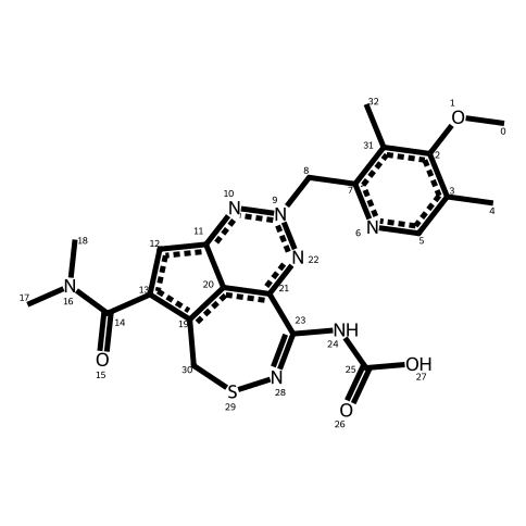 COc1c(C)cnc(Cn2nc3cc(C(=O)N(C)C)c4c-3c(n2)C(NC(=O)O)=NSC4)c1C